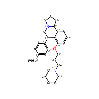 CSc1ccc([C@@H]2CN3CCCC3c3cccc(OCCCN4CCCCC4)c32)cc1